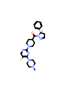 CN1CCN(c2nc(N3CCC(C(=O)N4N=CC[C@H]4c4ccccc4)CC3)ncc2F)CC1